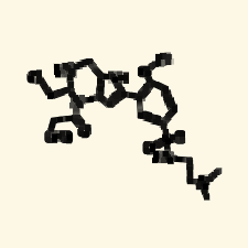 CCOc1ccc(S(=O)(=O)NCCN(C)C)cc1-c1cc2c([nH]1)CNC(CCl)N2C(=O)CC=O